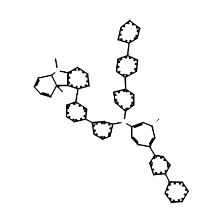 CCN1c2cccc(-c3cccc(-c4cccc(N(C5=C[C@@H](C)C=C(c6ccc(-c7ccccc7)cc6)C=C5)c5ccc(-c6ccc(-c7ccccc7)cc6)cc5)c4)c3)c2C2(C)C=CC=CC12